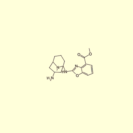 COC(=O)c1cccc2oc(NC34CCCC(CC(N)C3)N4C)nc12